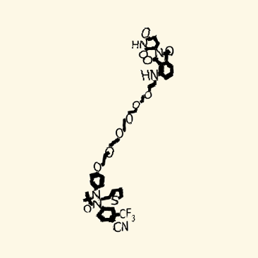 CC1(C)C(=O)N(c2ccc(C#N)c(C(F)(F)F)c2)C(c2cccs2)N1c1ccc(OCCOCCOCCOCCOCCOCCNc2cccc3c2C(=O)N(C2CCC(=O)NC2=O)C3=O)cc1